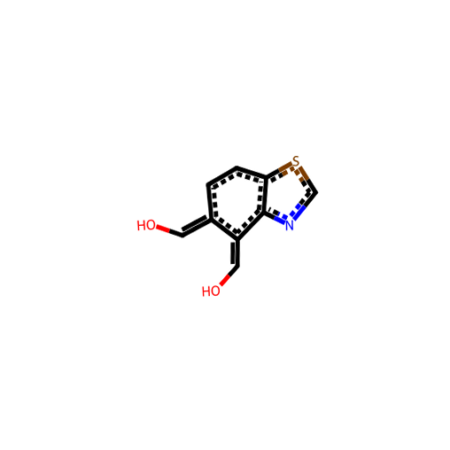 OC=c1ccc2scnc2c1=CO